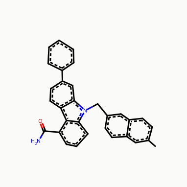 Cc1ccc2cc(Cn3c4cc(-c5ccccc5)c[c]c4c4c(C(N)=O)cccc43)ccc2c1